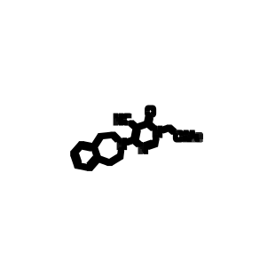 COCn1cnc(N2CCc3ccccc3CC2)c(C#N)c1=O